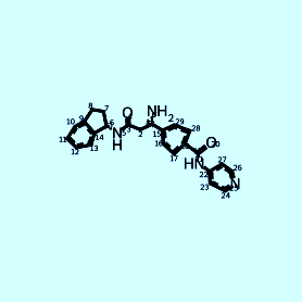 N[C@H](CC(=O)N[C@H]1CCc2ccccc21)c1ccc(C(=O)Nc2ccncc2)cc1